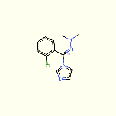 CN(C)/N=C(\c1ccccc1Cl)n1ccnc1